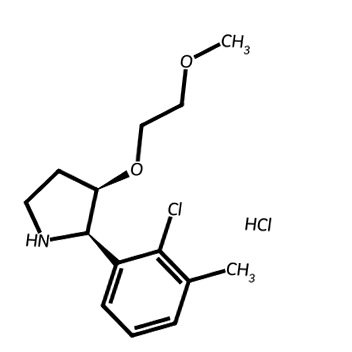 COCCO[C@@H]1CCN[C@@H]1c1cccc(C)c1Cl.Cl